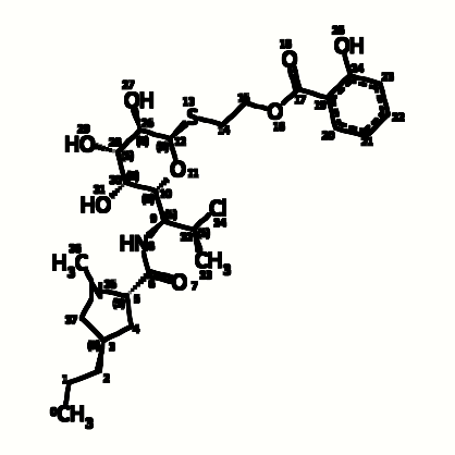 CCC[C@@H]1C[C@@H](C(=O)N[C@@H]([C@H]2O[C@H](SCCOC(=O)c3ccccc3O)[C@H](O)[C@@H](O)[C@H]2O)[C@H](C)Cl)N(C)C1